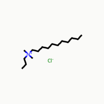 CCCCCCCCCCC[N+](C)(C)CCC.[Cl-]